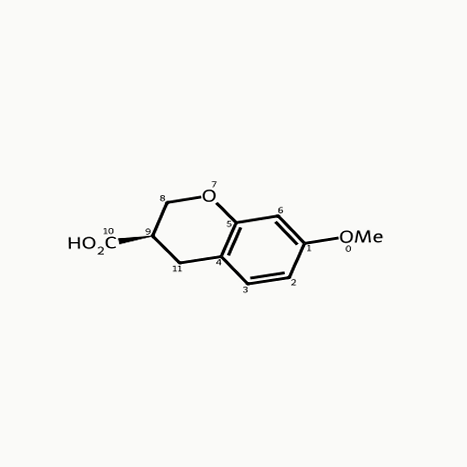 COc1ccc2c(c1)OC[C@H](C(=O)O)C2